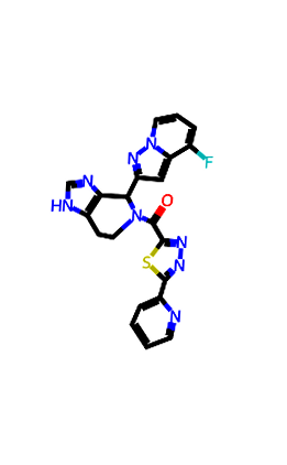 O=C(c1nnc(-c2ccccn2)s1)N1CCc2[nH]cnc2C1c1cc2c(F)cccn2n1